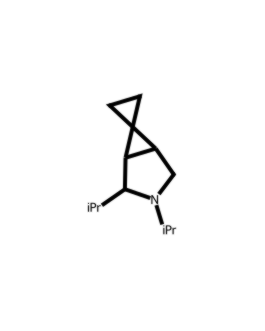 CC(C)C1C2C(CN1C(C)C)C21CC1